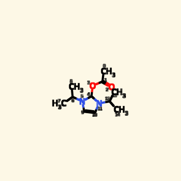 CC(=O)OC1N(C(C)C)C=CN1C(C)C